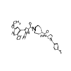 COc1cc(-c2cc(C(=O)N3CCC(C(=O)NC4CCN(c5ccc(F)cc5)C4)CC3)n[nH]2)c(Cl)cn1